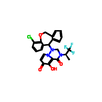 C[C@@H](N1CN(C2c3ccccc3COc3c(Cl)cccc32)n2ccc(=O)c(O)c2C1=O)C(F)(F)F